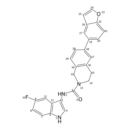 O=C(Nc1c[nH]c2ccc(F)cc12)N1CCc2cc(-c3ccc4occc4c3)ccc2C1